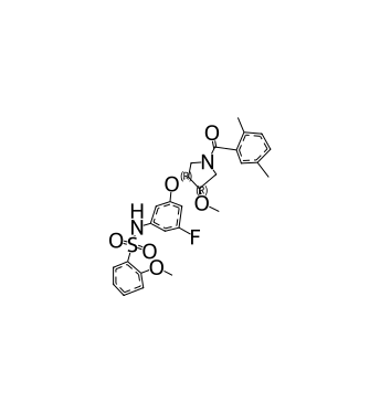 COc1ccccc1S(=O)(=O)Nc1cc(F)cc(O[C@@H]2CN(C(=O)c3cc(C)ccc3C)C[C@H]2OC)c1